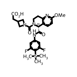 COc1ccc2c(n1)CCN(C(=O)N1CC(CC(=O)O)C1)[C@H]2C(=O)Nc1cc(F)c(S(C)(C)C)c(F)c1